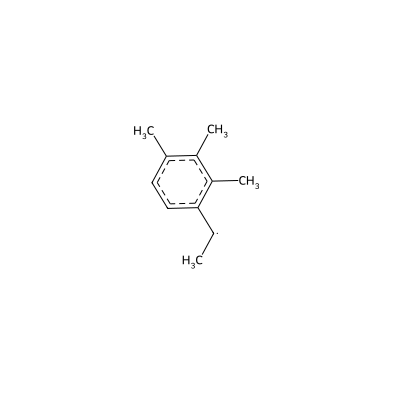 C[CH]c1ccc(C)c(C)c1C